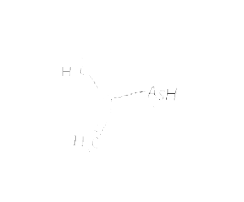 CC(C)[AsH]